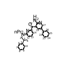 CCCN(CC(C)c1ccccc1)c1cccc(C(=O)c2cc(-c3ccccc3)cnc2N)n1